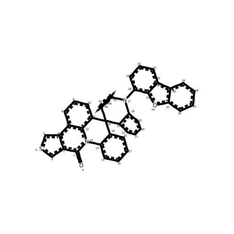 O=c1c2cscc2c2cccc3c2n1-c1ccccc1C31c2ccccc2N(c2cccc3c2oc2ccccc23)c2ccccc21